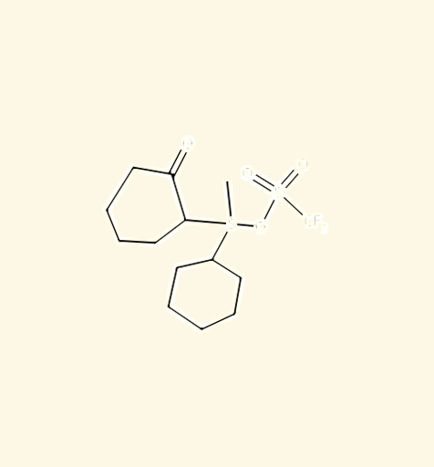 CS(OS(=O)(=O)C(F)(F)F)(C1CCCCC1)C1CCCCC1=O